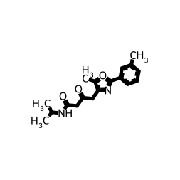 Cc1cccc(-c2nc(CC(=O)CC(=O)NC(C)C)c(C)o2)c1